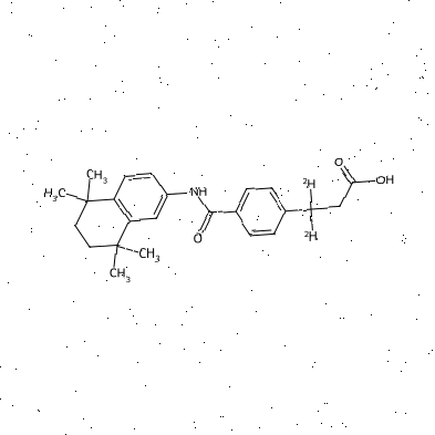 [2H]C([2H])(CC(=O)O)c1ccc(C(=O)Nc2ccc3c(c2)C(C)(C)CCC3(C)C)cc1